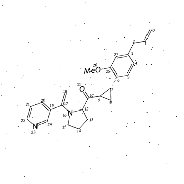 C=CCc1ccc([C@@H]2CC2C(=O)C2CCCN2C(=C)c2cccnc2)c(OC)c1